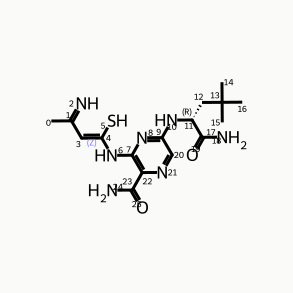 CC(=N)/C=C(\S)Nc1nc(N[C@H](CC(C)(C)C)C(N)=O)cnc1C(N)=O